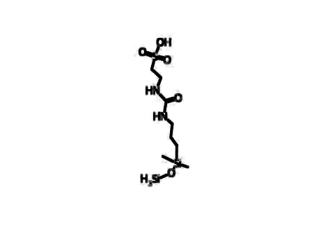 C[Si](C)(CCCNC(=O)NCCS(=O)(=O)O)O[SiH3]